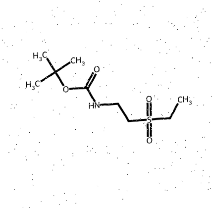 CCS(=O)(=O)CCNC(=O)OC(C)(C)C